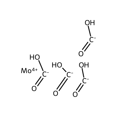 O=[C-]O.O=[C-]O.O=[C-]O.O=[C-]O.[Mo+4]